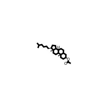 CC(=O)O[C@H]1CC[C@@]2(C)C(CC[C@@H]3C2CC[C@@]2(C)C3CC[C@@H]2CCCCC(C)C)C1